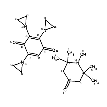 CC1(C)CC(=O)CC(C)(C)N1O.O=C1C=C(N2CC2)C(=O)C(N2CC2)=C1N1CC1